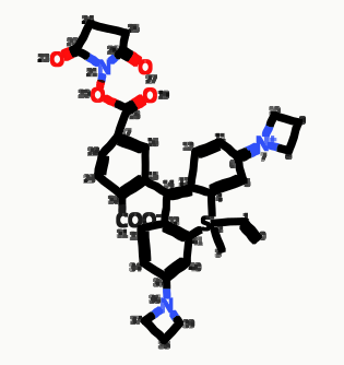 C=C[Si]1(C)C2=CC(=[N+]3CCC3)C=CC2=C(c2cc(C(=O)ON3C(=O)CCC3=O)ccc2C(=O)[O-])c2ccc(N3CCC3)cc21